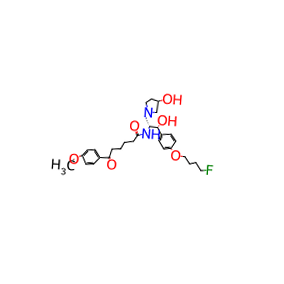 COc1ccc(C(=O)CCCCC(=O)N[C@H](CN2CCC(O)C2)[C@H](O)c2ccc(OCCCCF)cc2)cc1